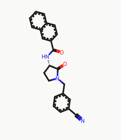 N#Cc1cccc(CN2CC[C@H](NC(=O)c3ccc4ccccc4c3)C2=O)c1